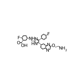 NCCOc1cnc2ccc(-c3[nH]c(CNc4ccc(F)c(C(=O)O)c4)nc3-c3ccc(F)cc3)cc2n1